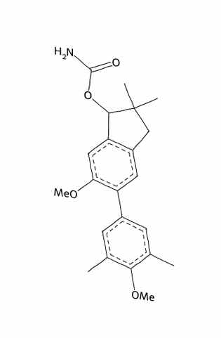 COc1cc2c(cc1-c1cc(C)c(OC)c(C)c1)CC(C)(C)C2OC(N)=O